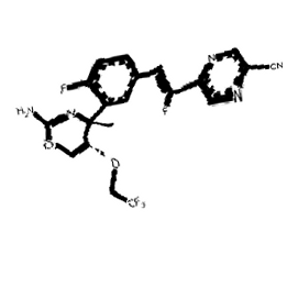 C[C@]1(c2cc(/C=C(\F)c3cnc(C#N)cn3)ccc2F)N=C(N)OC[C@H]1OCC(F)(F)F